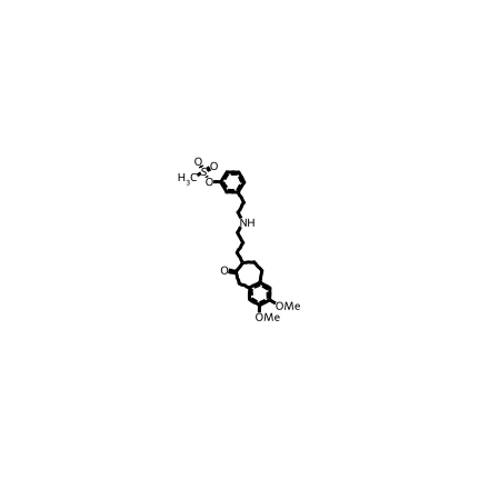 COc1cc2c(cc1OC)CC(=O)C(CCCNCCc1cccc(OS(C)(=O)=O)c1)CC2